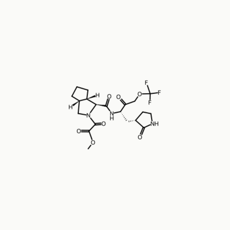 COC(=O)C(=O)N1C[C@@H]2CCC[C@@H]2[C@H]1C(=O)N[C@@H](C[C@@H]1CCNC1=O)C(=O)COC(F)(F)F